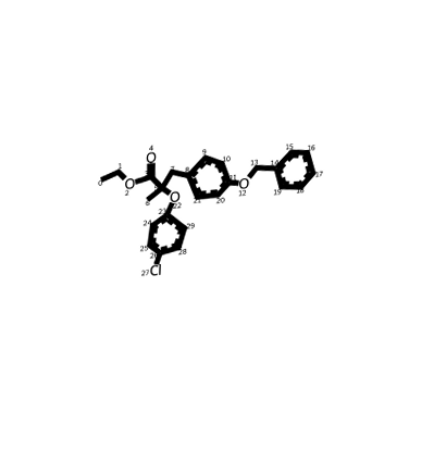 CCOC(=O)C(C)(Cc1ccc(OCc2ccccc2)cc1)Oc1ccc(Cl)cc1